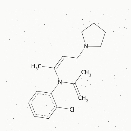 C=C(C)N(/C(C)=C\CN1CCCC1)c1ccccc1Cl